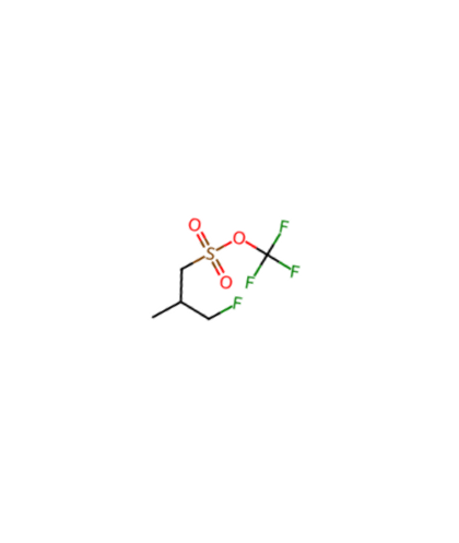 CC(CF)CS(=O)(=O)OC(F)(F)F